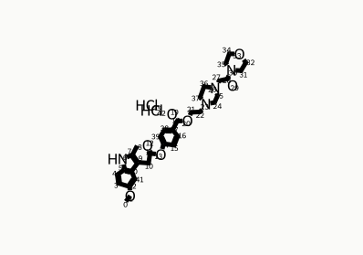 COc1ccc2[nH]c(C)c(CC(=O)Oc3ccc(C(=O)OCCN4CCN(CC(=O)N5CCOCC5)CC4)cc3)c2c1.Cl.Cl